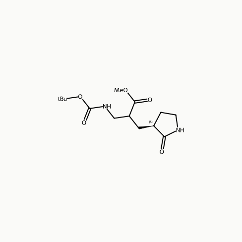 COC(=O)C(CNC(=O)OC(C)(C)C)C[C@H]1CCNC1=O